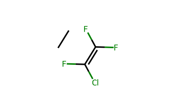 CC.FC(F)=C(F)Cl